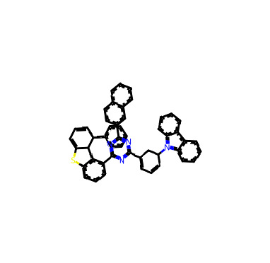 C1=CC(c2ccccc2)C2C(=C1)Sc1cccc(-c3nc(C4=CC=CC(n5c6ccccc6c6ccccc65)C4)nc(-c4ccc5ccccc5c4)n3)c12